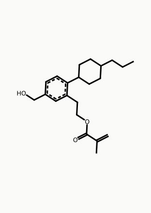 C=C(C)C(=O)OCCc1cc(CO)ccc1C1CCC(CCC)CC1